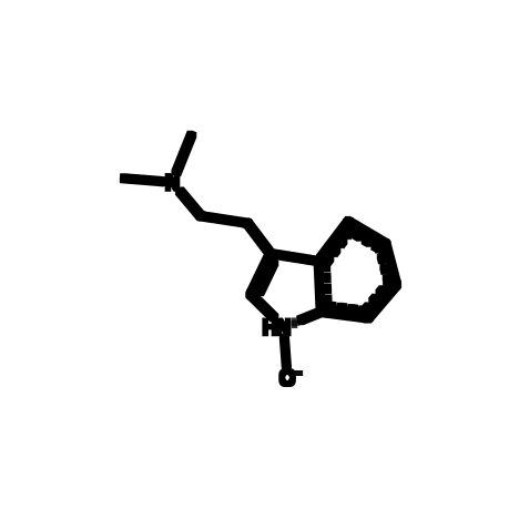 CN(C)CCC1=C[NH+]([O-])c2ccccc21